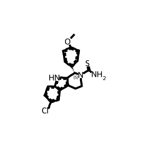 COc1ccc([C@H]2c3[nH]c4ccc(Cl)cc4c3CCN2C(N)=S)cc1